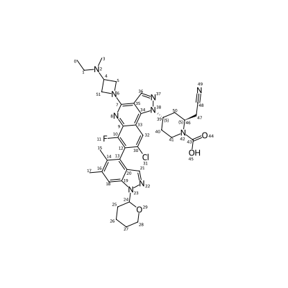 CCN(C)C1CN(c2nc3c(F)c(-c4c(C)c(C)cc5c4cnn5C4CCCCO4)c(Cl)cc3c3c2cnn3[C@H]2CCN(C(=O)O)[C@H](CC#N)C2)C1